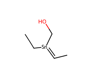 C[CH]=[Sn]([CH2]C)[CH2]O